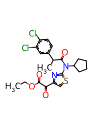 CCOC(=O)C(=O)c1csc(N(C(=O)C(C)c2ccc(Cl)c(Cl)c2)C2CCCC2)n1